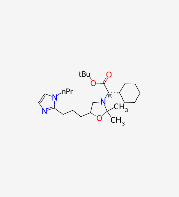 CCCn1ccnc1CCCC1CN([C@H](C(=O)OC(C)(C)C)C2CCCCC2)C(C)(C)O1